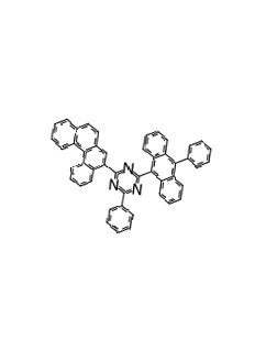 c1ccc(-c2nc(-c3c4ccccc4c(-c4ccccc4)c4ccccc34)nc(-c3cc4ccc5ccccc5c4c4ccccc34)n2)cc1